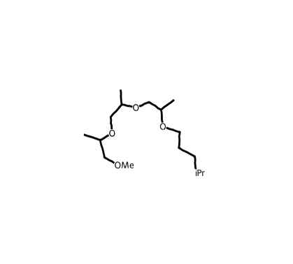 COCC(C)OCC(C)OCC(C)OCCCC(C)C